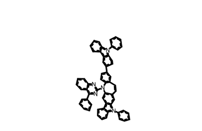 C1=Cc2cc3c(cc2N(c2nc(-c4ccccc4)c4ccccc4n2)c2ccc(-c4ccc5c(c4)c4ccccc4n5-c4ccccc4)cc21)c1ccccc1n3-c1ccccc1